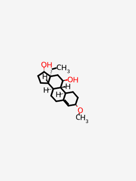 CC[C@]12C[C@@H](O)[C@H]3[C@@H](CCC4=C[C@@H](OC)CC[C@@H]43)[C@@H]1CC[C@@H]2O